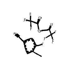 Cc1ccc(C#N)cc1I.O=C(OC(=O)C(F)(F)F)C(F)(F)F